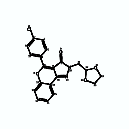 O=c1c2c(-c3ccc(Cl)cc3)oc3ccccc3c-2nn1CC1OCCO1